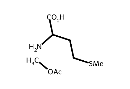 COC(C)=O.CSCCC(N)C(=O)O